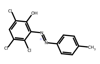 Cc1ccc(/N=N/c2c(O)c(Cl)cc(Cl)c2Cl)cc1